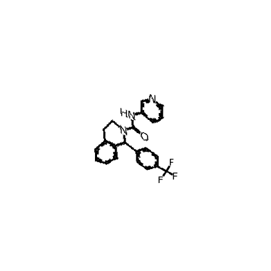 O=C(Nc1cccnc1)N1CCc2ccccc2C1c1ccc(C(F)(F)F)cc1